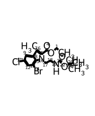 CCOC(=O)c1c(C)c2cc(Cl)cc(Br)c2n1CCNC(=O)OC(C)(C)C